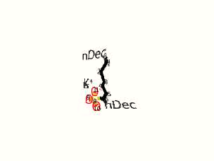 CCCCCCCCCCCCCCCC(CCCCCCCCCC)S(=O)(=O)[O-].[K+]